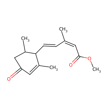 COC(=O)/C=C(C)\C=C\C1C(C)=CC(=O)CC1C